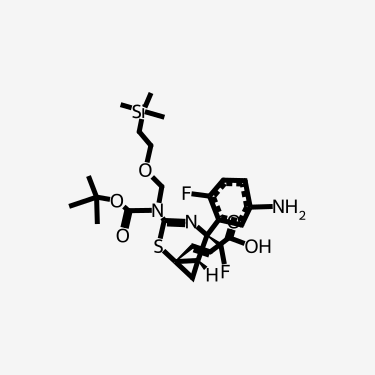 CC(C)(C)OC(=O)N(COCC[Si](C)(C)C)C1=N[C@](CF)(c2cc(N)ccc2F)[C@@H]2C[C@]2(/C=C/C(=O)O)S1